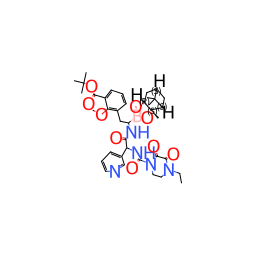 CCN1CCN(C(=O)NC(C(=O)NC(Cc2cccc(C(=O)OC(C)(C)C)c2OC)B2O[C@@H]3C[C@@H]4C[C@@H](C4(C)C)[C@]3(C)O2)c2cccnc2)C(=O)C1=O